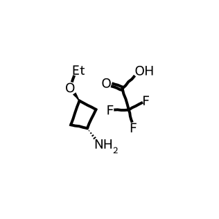 CCO[C@H]1C[C@H](N)C1.O=C(O)C(F)(F)F